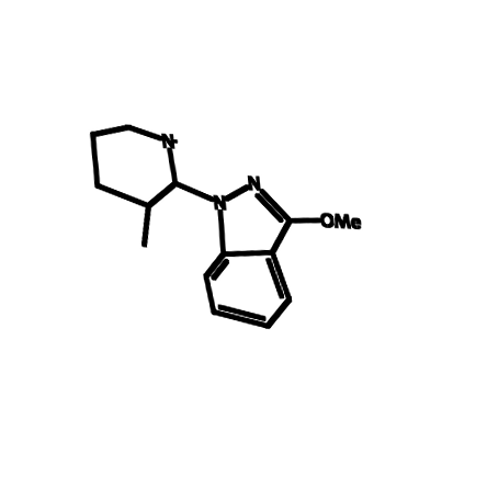 COc1nn(C2[N]CCCC2C)c2ccccc12